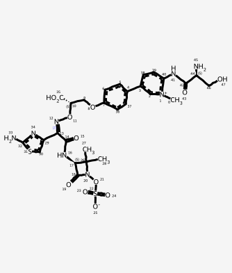 C[n+]1cc(-c2ccc(OC[C@H](O/N=C(\C(=O)N[C@@H]3C(=O)N(OS(=O)(=O)[O-])C3(C)C)c3csc(N)n3)C(=O)O)cc2)ccc1NC(=O)[C@@H](N)CO